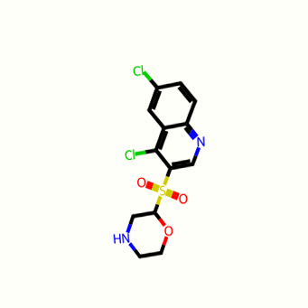 O=S(=O)(c1cnc2ccc(Cl)cc2c1Cl)C1CNCCO1